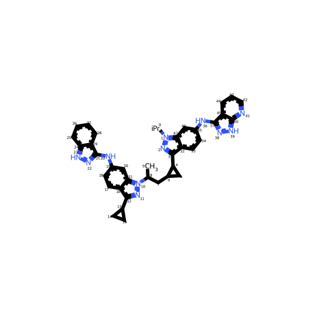 CC(C)n1nc(C2CC2CC(C)n2nc(C3CC3)c3ccc(Nc4n[nH]c5ccccc45)cc32)c2ccc(Nc3n[nH]c4ncccc34)cc21